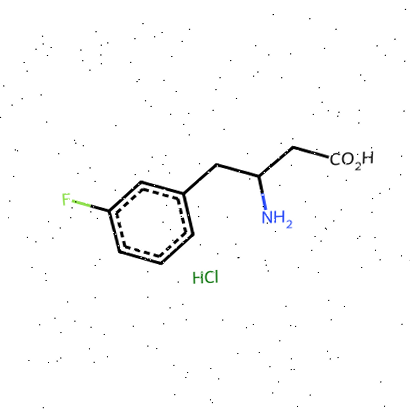 Cl.NC(CC(=O)O)Cc1cccc(F)c1